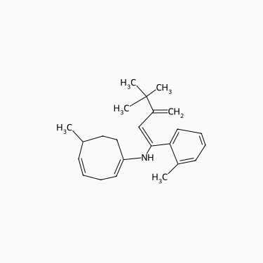 C=C(/C=C(/N/C1=C/CC=CC(C)CC1)c1ccccc1C)C(C)(C)C